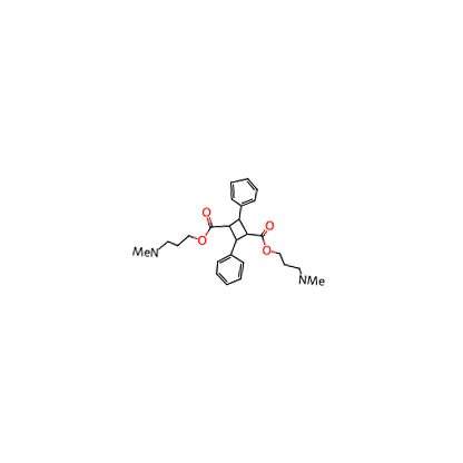 CNCCCOC(=O)C1C(c2ccccc2)C(C(=O)OCCCNC)C1c1ccccc1